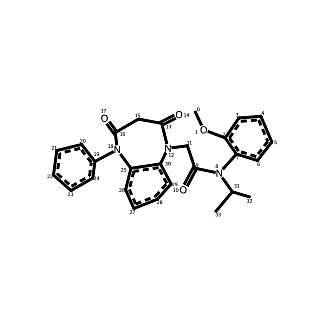 COc1ccccc1N(C(=O)CN1C(=O)CC(=O)N(c2ccccc2)c2ccccc21)C(C)C